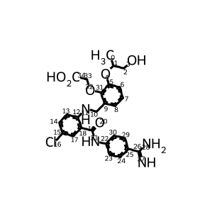 CC(CO)Oc1cccc(CNc2ccc(Cl)cc2C(=O)Nc2ccc(C(=N)N)cc2)c1OCC(=O)O